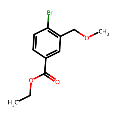 CCOC(=O)c1ccc(Br)c(COC)c1